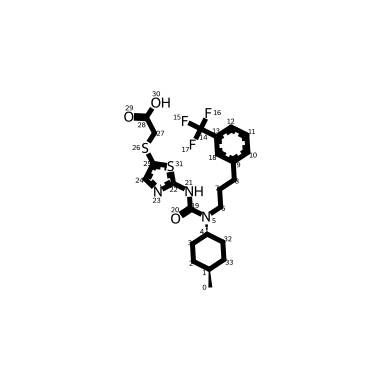 C[C@H]1CC[C@H](N(CCCc2cccc(C(F)(F)F)c2)C(=O)Nc2ncc(SCC(=O)O)s2)CC1